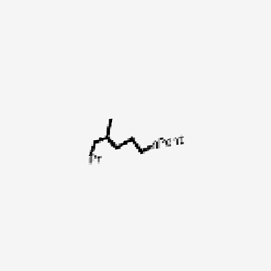 [CH2]C(C)CC(C)CCCCCCCC